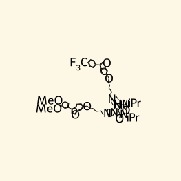 COc1ccc(-c2coc3cc(OCCCCCN4CCN(C(C(=O)NC(C)C)C(C(=O)NC(C)C)N5CCN(CCCCCOc6ccc7c(-c8ccc(C(F)(F)F)cc8)coc7c6)CC5)CC4)ccc23)cc1OC